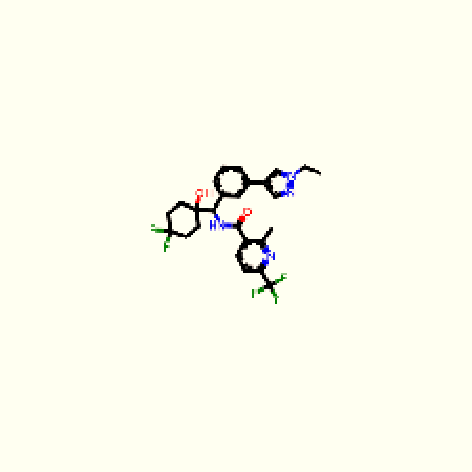 CCn1cc(-c2cccc(C(NC(=O)c3ccc(C(F)(F)F)nc3C)C3(O)CCC(F)(F)CC3)c2)cn1